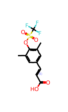 Cc1cc(/C=C/C(=O)O)cc(C)c1OS(=O)(=O)C(F)(F)F